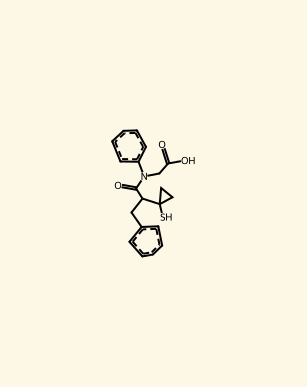 O=C(O)CN(C(=O)C(Cc1ccccc1)C1(S)CC1)c1ccccc1